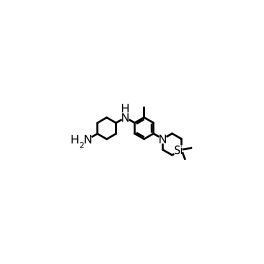 Cc1cc(N2CC[Si](C)(C)CC2)ccc1NC1CCC(N)CC1